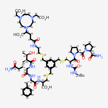 CCCCNC(=O)N[C@@H](CSCc1cc(CSCCNC(=O)CCC(C(=O)O)N2CCN(CC(=O)O)CCN(CC(=O)O)CC2)cc(CSCC(NC(=O)[C@H](Cc2ccccc2)NC(=O)[C@H](CCC(N)=O)NC(=O)[C@@H](C)[C@@H](C)O)C(=O)O)c1)C(=O)N1CCC[C@H]1C(=O)N1CCC[C@H]1C(N)=O